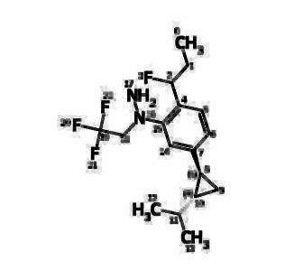 CCC(F)c1ccc([C@H]2C[C@@H]2C(C)C)cc1N(N)CC(F)(F)F